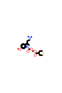 COc1ccc2c(CCN(C)C)cn(C(=O)OCOC(=O)C3CCSCC3)c2c1